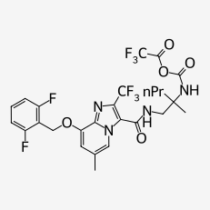 CCCC(C)(CNC(=O)c1c(C(F)(F)F)nc2c(OCc3c(F)cccc3F)cc(C)cn12)NC(=O)OC(=O)C(F)(F)F